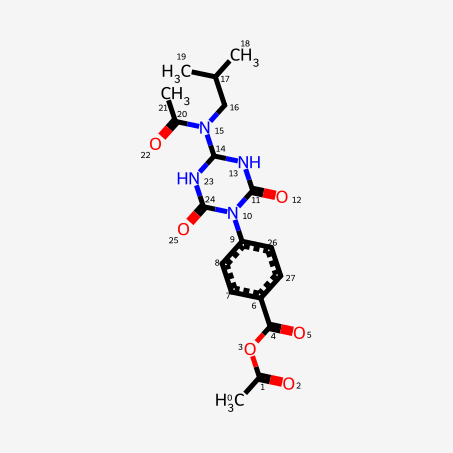 CC(=O)OC(=O)c1ccc(N2C(=O)NC(N(CC(C)C)C(C)=O)NC2=O)cc1